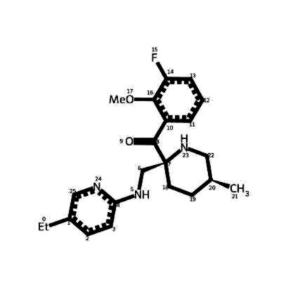 CCc1ccc(NC[C@]2(C(=O)c3cccc(F)c3OC)CC[C@H](C)CN2)nc1